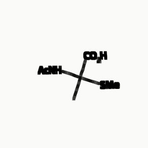 CSC(C)(NC(C)=O)C(=O)O